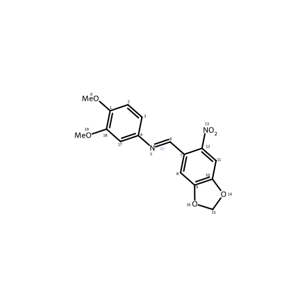 COc1ccc(/N=C/c2cc3c(cc2[N+](=O)[O-])OCO3)cc1OC